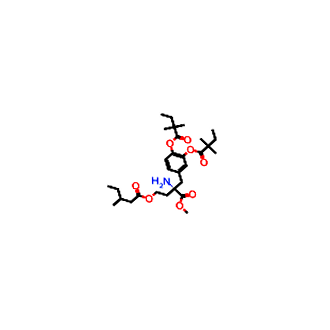 CCC(C)CC(=O)OCC[C@@](N)(Cc1ccc(OC(=O)C(C)(C)CC)c(OC(=O)C(C)(C)CC)c1)C(=O)OC